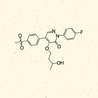 CC(O)CCOc1c(-c2ccc(S(C)(=O)=O)cc2)cnn(-c2ccc(F)cc2)c1=O